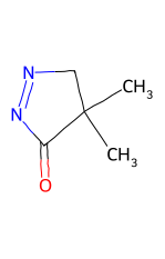 CC1(C)CN=NC1=O